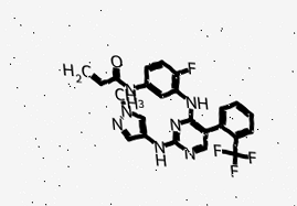 C=CC(=O)Nc1ccc(F)c(Nc2nc(Nc3cnn(C)c3)ncc2-c2ccccc2C(F)(F)F)c1